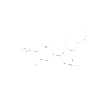 CC(C)(C)CN(c1ccc(C#N)c(Cl)c1)[C@H]1CCN(C(=O)O)C1